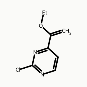 C=C(OCC)c1ccnc(Cl)n1